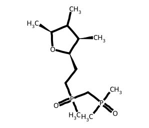 CC1[C@H](C)O[C@H](CCP(C)(=O)CP(C)(C)=O)[C@@H]1C